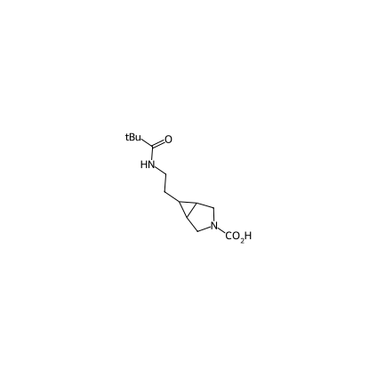 CC(C)(C)C(=O)NCCC1C2CN(C(=O)O)CC12